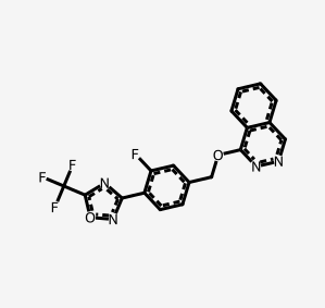 Fc1cc(COc2nncc3ccccc23)ccc1-c1noc(C(F)(F)F)n1